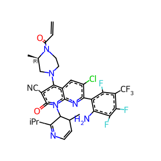 C=CC(=O)N1CCN(c2c(C#N)c(=O)n(C3C(C(C)C)=NC=CC3C)c3nc(-c4c(N)c(F)c(F)c(C(F)(F)F)c4F)c(Cl)cc23)C[C@H]1C